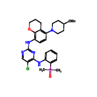 COC1CCN(c2ccc(Nc3ncc(Cl)c(Nc4ccccc4P(C)(C)=O)n3)c3c2CCCO3)CC1